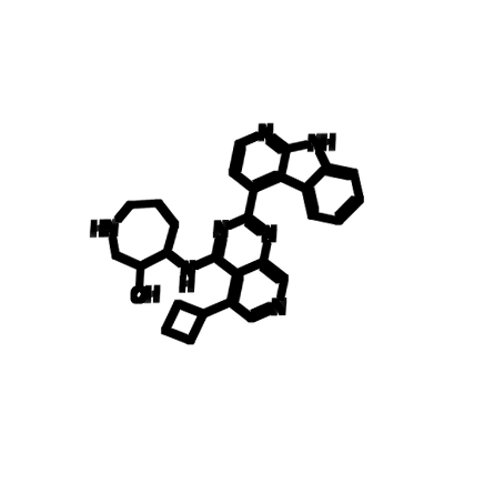 OC1CNCCCC1Nc1nc(-c2ccnc3[nH]c4ccccc4c23)nc2cncc(C3CCC3)c12